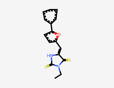 CCN1C(=S)N/C(=C\c2ccc(-c3ccccc3)o2)C1=S